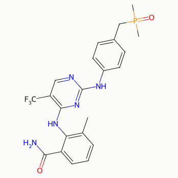 Cc1cccc(C(N)=O)c1Nc1nc(Nc2ccc(CP(C)(C)=O)cc2)ncc1C(F)(F)F